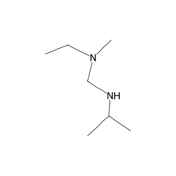 CCN(C)CNC(C)C